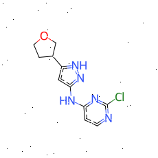 Clc1nccc(Nc2cc(C3CCOC3)[nH]n2)n1